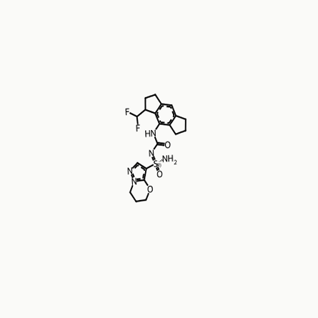 N[S@@](=O)(=NC(=O)Nc1c2c(cc3c1C(C(F)F)CC3)CCC2)c1cnn2c1OCCC2